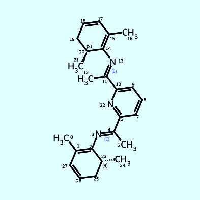 CC1=C(/N=C(\C)c2cccc(/C(C)=N/C3=C(C)C=CC[C@@H]3C)n2)[C@H](C)CC=C1